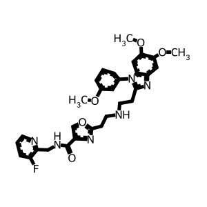 COc1cccc(-n2c(CCNCCc3nc(C(=O)NCc4ncccc4F)co3)nc3cc(OC)c(OC)cc32)c1